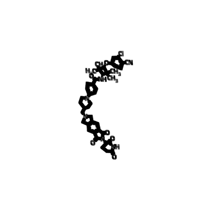 CC1(C)[C@H](NC(=O)c2ccc(N3CCC(CN4Cc5cc6c(cc5C4)C(=O)N(C4CCC(=O)NC4=O)C6=O)CC3)cc2)C(C)(C)[C@H]1Oc1ccc(C#N)c(Cl)c1